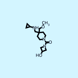 COCC1(CNC2CC2)CCN(C(=O)N2CC(O)C2)CC1